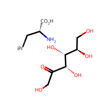 CC(C)C[C@@H](N)C(=O)O.O=C(CO)[C@@H](O)[C@H](O)[C@H](O)CO